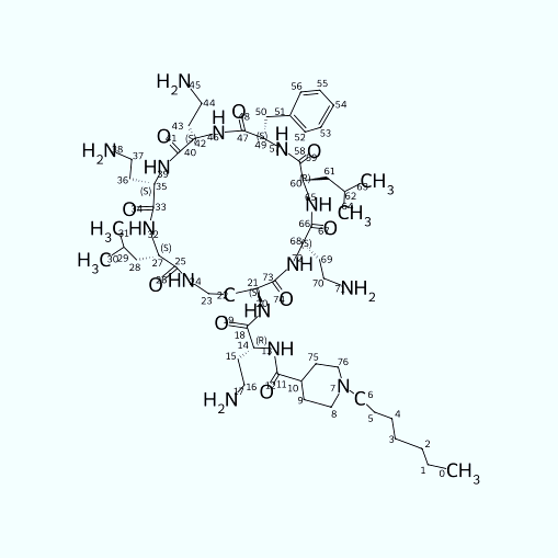 CCCCCCCN1CCC(C(=O)N[C@H](CCN)C(=O)N[C@H]2CCNC(=O)[C@H](CC(C)C)NC(=O)[C@H](CCN)NC(=O)[C@H](CCN)NC(=O)[C@H](Cc3ccccc3)NC(=O)[C@@H](CC(C)C)NC(=O)[C@H](CCN)NC2=O)CC1